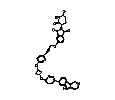 O=C1CCC(N2C(=O)c3ccc(OCC#Cc4ccc(O[C@H]5C[C@H](Oc6ccc(-c7ccc8c(c7)[nH]c7ccncc78)cn6)C5)cn4)cc3C2=O)C(=O)N1